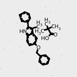 CC(C)(C)C(=O)O.Cc1c(-c2ccccc2)[nH]c2ccc(OCc3ccccc3)cc12